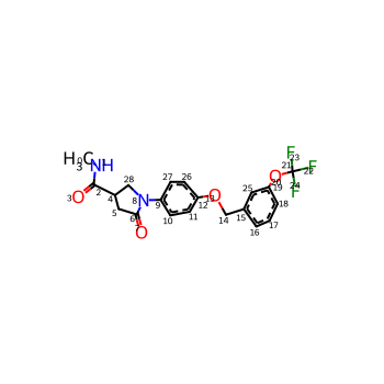 CNC(=O)C1CC(=O)N(c2ccc(OCc3cccc(OC(F)(F)F)c3)cc2)C1